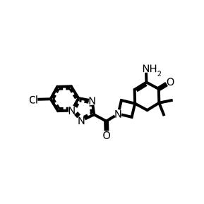 CC1(C)CC2(C=C(N)C1=O)CN(C(=O)c1nc3ccc(Cl)cn3n1)C2